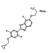 CC(=O)N[C@@H](C)COc1ccc2nc(-c3cc(F)c(OCC4CC4)cc3F)oc2c1F